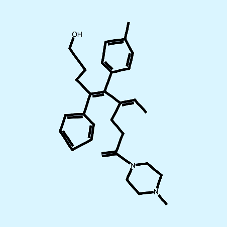 C=C(CCC(=C\C)/C(=C(/CCCO)c1ccccc1)c1ccc(C)cc1)N1CCN(C)CC1